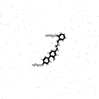 CCCCCCCc1ccccc1C=NN=Cc1ccc(-c2ccc(CCCCC)cc2)c(F)c1